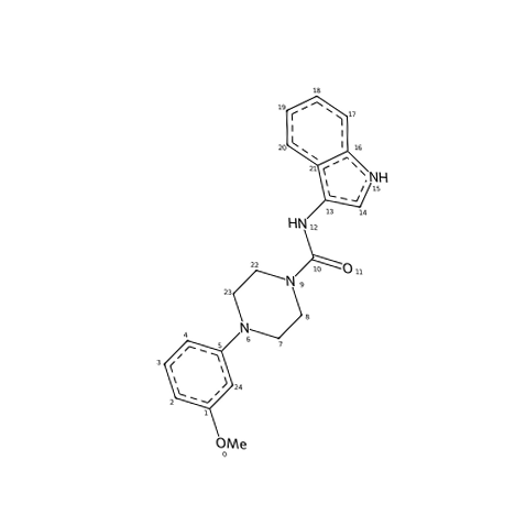 COc1cccc(N2CCN(C(=O)Nc3c[nH]c4ccccc34)CC2)c1